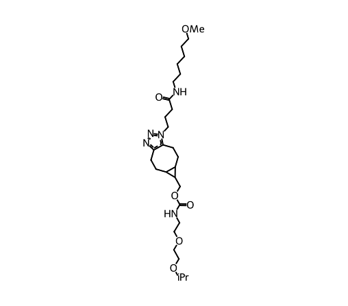 COCCCCCCNC(=O)CCCn1nnc2c1CCC1C(CC2)C1COC(=O)NCCOCCOC(C)C